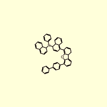 C1=CC2=CC=CC(N(c3ccccc3)C3C=CC(C4=C5Oc6c(-c7ccc(-c8ccccc8)cc7)cccc6C5CC=C4)=C4C=CC=CC43)C2C=C1